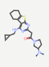 CN(C)C1CCN(C(=O)Cc2nc(NCC3CC3)c3c4c(sc3n2)CCCC4)C1